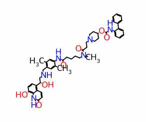 Cc1cc(NC(=O)CCCCN(C)C(=O)CCN2CCC(OC(=O)Nc3ccccc3-c3ccccc3)CC2)c(C)cc1CNC[C@@H](O)c1ccc(O)c2[nH]c(=O)ccc12